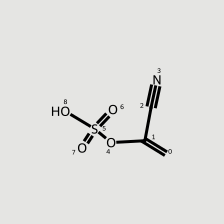 C=C(C#N)OS(=O)(=O)O